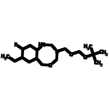 CCC1CC2COCN(COCOC(C)(C)C)CNC2CC1F